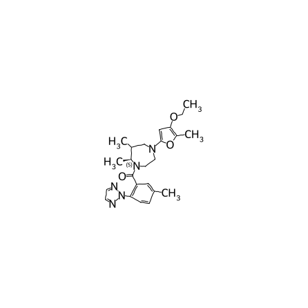 CCOc1cc(N2CCN(C(=O)c3cc(C)ccc3-n3nccn3)[C@@H](C)C(C)C2)oc1C